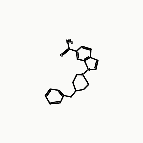 NC(=O)c1ccc2ccn(N3CCC(Cc4ccccc4)CC3)c2c1